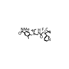 CNC(=O)c1ccc(C[C@@H](CNC(=O)C[C@@H](c2cccnc2)C2(C(F)(F)F)CC2)N(C)C)c(C)c1